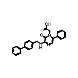 O=C(O)Cn1c(-c2ccccc2)cnc(NCc2ccc(-c3ccccc3)cc2)c1=O